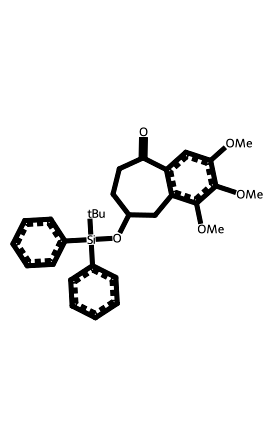 COc1cc2c(c(OC)c1OC)CC(O[Si](c1ccccc1)(c1ccccc1)C(C)(C)C)CCC2=O